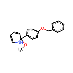 COC1(c2ccc(OCc3ccccc3)cc2)C=C[C]=CN1